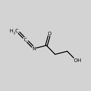 C=C=NC(=O)CCO